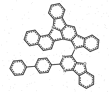 c1ccc(-c2ccc(-c3nc(-n4c5ccccc5c5cc6c7ccccc7n7c8c9ccccc9ccc8c(c54)c67)c4oc5ccccc5c4n3)cc2)cc1